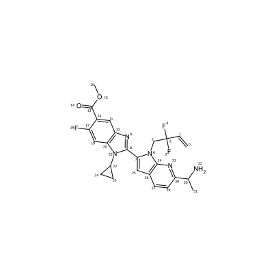 C=CC(F)(F)Cn1c(-c2nc3cc(C(=O)OC)c(F)cc3n2C2CC2)cc2ccc(C(C)N)nc21